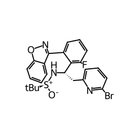 CC(C)(C)[S@+]([O-])N[C@@H](Cc1cccc(Br)n1)c1c(F)cccc1-c1noc2ccccc12